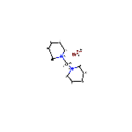 C1CC[N]([Zr+2][N]2CCCCC2)CC1.[Br-].[Br-]